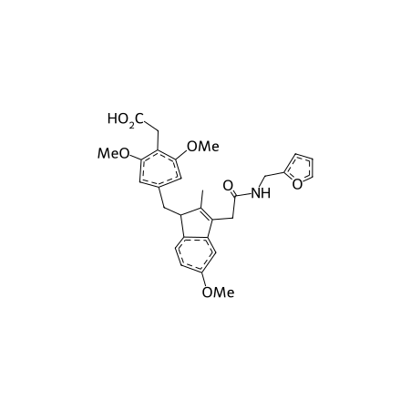 COc1ccc2c(c1)C(CC(=O)NCc1ccco1)=C(C)C2Cc1cc(OC)c(CC(=O)O)c(OC)c1